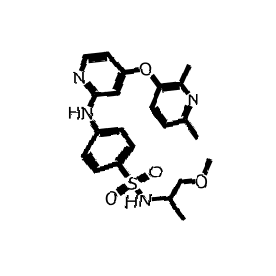 COCC(C)NS(=O)(=O)c1ccc(Nc2cc(Oc3ccc(C)nc3C)ccn2)cc1